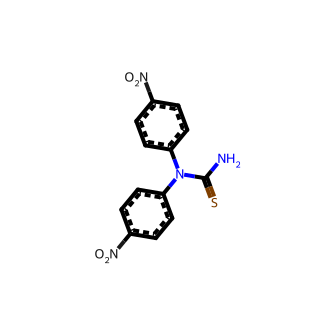 NC(=S)N(c1ccc([N+](=O)[O-])cc1)c1ccc([N+](=O)[O-])cc1